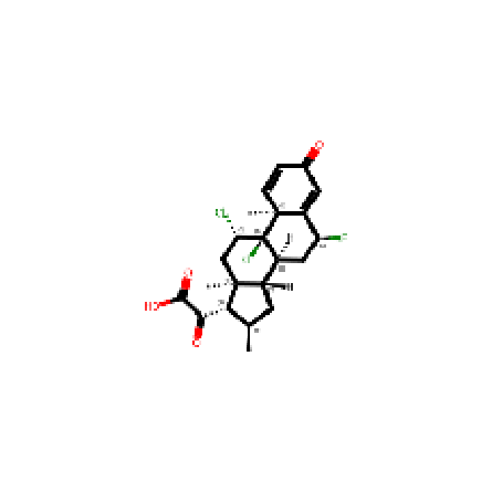 C[C@@H]1C[C@H]2[C@@H]3C[C@H](F)C4=CC(=O)C=C[C@]4(C)[C@@]3(Cl)[C@@H](Cl)C[C@]2(C)[C@H]1C(=O)C(=O)O